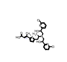 C/C(=C\C(=O)O)c1ccc(CC(C)N(CC(O)c2cccc(Cl)n2)CC(O)c2cccc(Cl)n2)s1